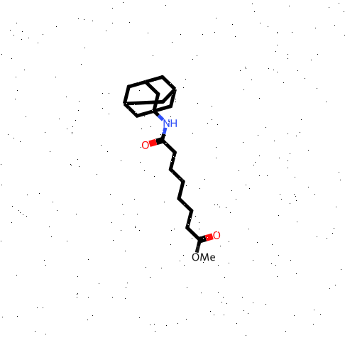 COC(=O)CCCCCCC(=O)NC12CC3CC(CC(C3)C1)C2